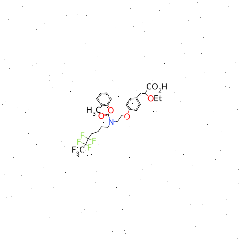 CCOC(Cc1ccc(OCCN(CCCCC(F)(F)C(F)(F)C(F)(F)F)C(=O)Oc2ccccc2C)cc1)C(=O)O